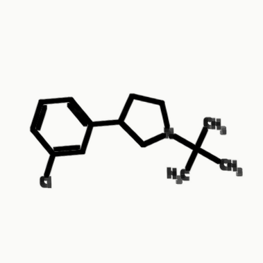 CC(C)(C)N1CCC(c2cccc(Cl)c2)C1